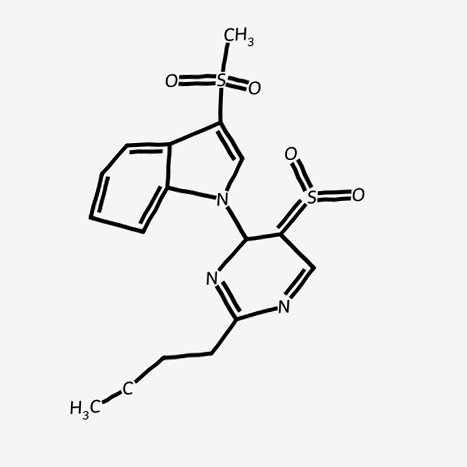 CCCCC1=NC(n2cc(S(C)(=O)=O)c3ccccc32)C(=S(=O)=O)C=N1